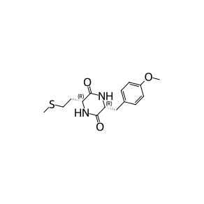 COc1ccc(C[C@H]2NC(=O)[C@@H](CCSC)NC2=O)cc1